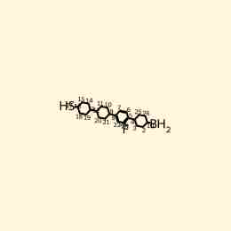 BC1CCC(c2ccc(C3CCC(C4CCC(S)CC4)CC3)cc2F)CC1